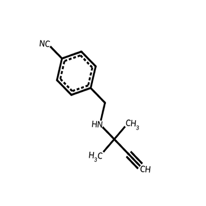 C#CC(C)(C)NCc1ccc(C#N)cc1